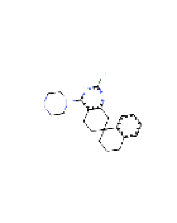 Clc1nc2c(c(N3CCNCC3)n1)CCC1(CCCc3ccccc31)C2